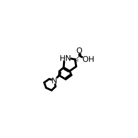 O=C(O)[C@@H]1Cc2ccc(N3CCCCC3)cc2CN1